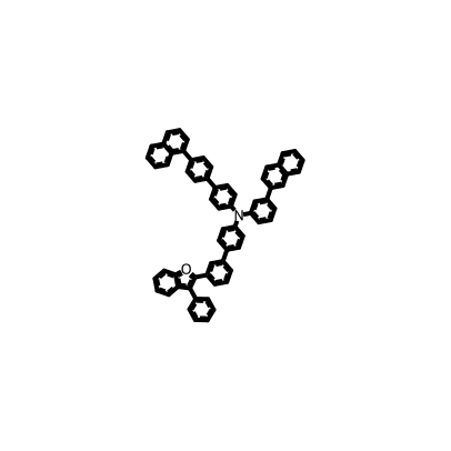 c1ccc(-c2c(-c3cccc(-c4ccc(N(c5ccc(-c6ccc(-c7cccc8ccccc78)cc6)cc5)c5cccc(-c6ccc7ccccc7c6)c5)cc4)c3)oc3ccccc23)cc1